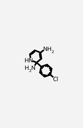 NC1=CC(N)(c2ccc(Cl)cc2)NC=C1